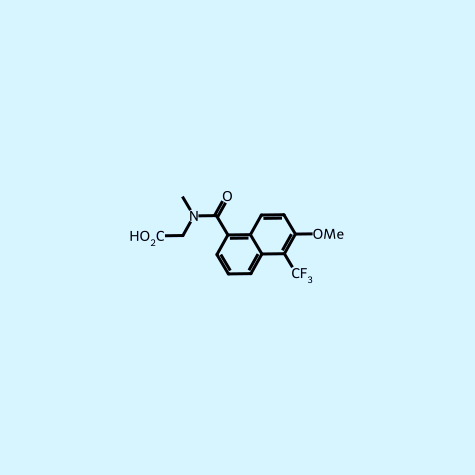 COc1ccc2c(C(=O)N(C)CC(=O)O)cccc2c1C(F)(F)F